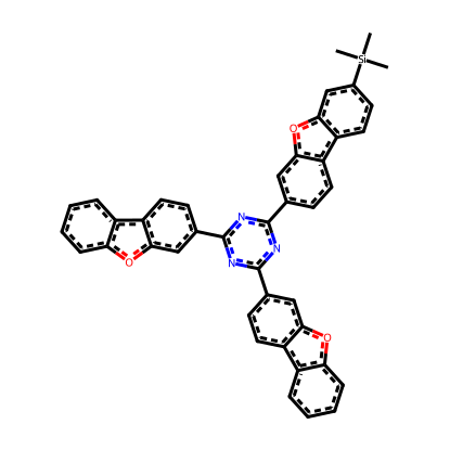 C[Si](C)(C)c1ccc2c(c1)oc1cc(-c3nc(-c4ccc5c(c4)oc4ccccc45)nc(-c4ccc5c(c4)oc4ccccc45)n3)ccc12